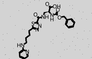 O=C(N[C@@H](CNC(=O)c1nnc(CCCCNc2ccccn2)s1)C(=O)O)OCc1ccccc1